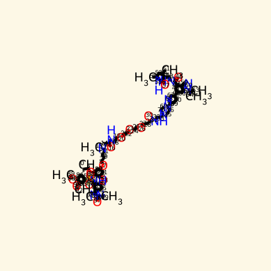 CCCOc1cc(OCCCCN(C)CC(=O)NCCOCCOCCOCCC(=O)NCCN2CCN(c3ccc(-c4cc(C(=O)NCc5c(C)cc(C)[nH]c5=O)c5cnn(C(C)C)c5c4)cn3)CC2)cc(Oc2cc3c(cc2NS(=O)(=O)c2ccc(OC)c(OC)c2)n(C)c(=O)n3C)c1